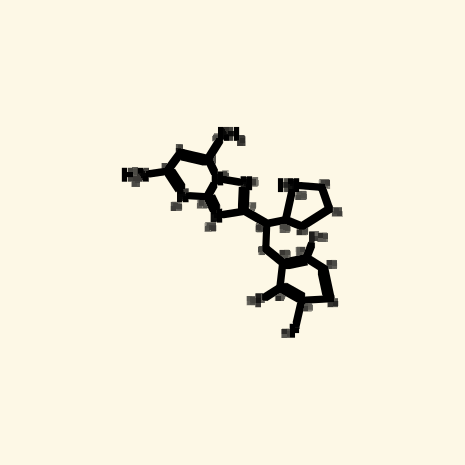 Nc1cc(N)n2nc(C(Cc3c(F)ccc(F)c3F)C3CCCN3)nc2n1